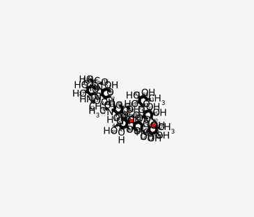 CC(=O)N[C@H]1[C@H](OC[C@H]2OC(O)[C@H](NC(C)=O)[C@@H](O[C@@H]3O[C@H](CO)[C@@H](O)[C@H](O)[C@H]3NC(C)=O)[C@H]2O)O[C@H](CO)[C@@H](O[C@@H]2O[C@H](CO)[C@H](O)[C@H](O[C@@H]3O[C@H](CO)[C@@H](O[C@@H]4O[C@@H](C)[C@@H](O)[C@@H](O)[C@@H]4O)[C@H](O[C@@H]4O[C@H](CO)[C@H](O)[C@H](O)[C@H]4O[C@@H]4O[C@@H](C)[C@@H](O)[C@@H](O)[C@@H]4O)[C@H]3NC(C)=O)[C@H]2O)[C@@H]1O